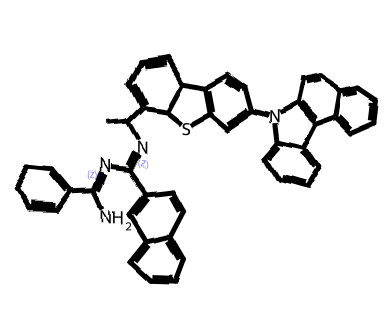 CC(/N=C(\N=C(/N)C1=CCCC=C1)c1ccc2ccccc2c1)C1=CC=CC2c3ccc(-n4c5ccccc5c5c6ccccc6ccc54)cc3SC12